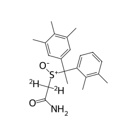 [2H]C([2H])(C(N)=O)[S+]([O-])C(C)(c1cc(C)c(C)c(C)c1)c1cccc(C)c1C